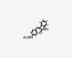 CC(=O)Nc1ccc(C=C2C(=O)Nc3ccccc32)cc1